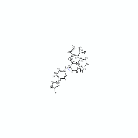 Cc1cn(-c2ccc(/C=C3\CC[C@H]4CCC[C@@H](c5ccccc5F)N4C3=O)cc2C)cn1